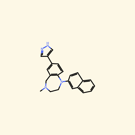 CN1CCN(c2ccc3ccccc3c2)c2ccc(-c3cn[nH]c3)cc2C1